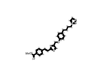 COC(=O)c1ccc(C=Cc2nc(COc3ccc(CCCCn4ccnn4)cc3)co2)cc1